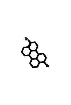 BrC1=C2CCCC3C4CCCC5C(Br)CCC(C(CC1)C23)C54